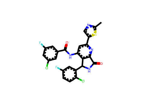 Cc1ncc(-c2cc(NC(=O)c3cc(F)cc(Cl)c3)c3c(n2)C(=O)NC3c2cc(F)ccc2Cl)s1